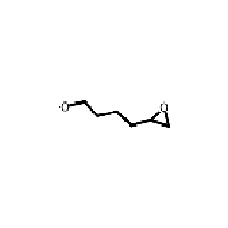 [O]CCCCC1CO1